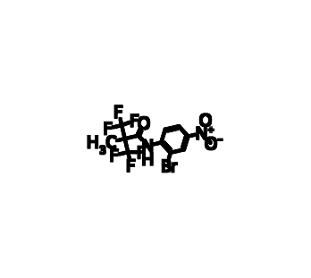 CC(C(=O)Nc1ccc([N+](=O)[O-])cc1Br)(C(F)(F)F)C(F)(F)F